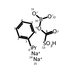 CC(C)c1ccccc1.O=C(OB([O-])[O-])S(=O)(=O)O.[Na+].[Na+]